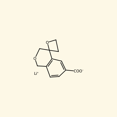 O=C([O-])c1ccc2c(c1)C1(CCO1)COC2.[Li+]